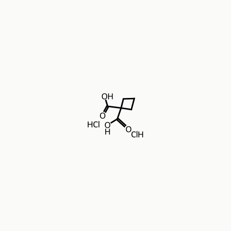 Cl.Cl.O=C(O)C1(C(=O)O)CCC1